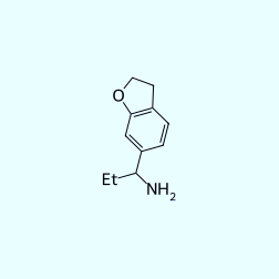 CCC(N)c1ccc2c(c1)OCC2